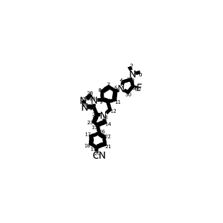 CN(C)[C@H]1CN(c2ccc3c(c2)Cn2cc(-c4ccc(C#N)cc4)cc2-c2nncn2-3)C[C@@H]1F